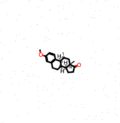 COc1ccc2c(c1)CC[C@H]1[C@@H]2[C@H](C)C[C@]2(C)C(=O)CC[C@@H]12